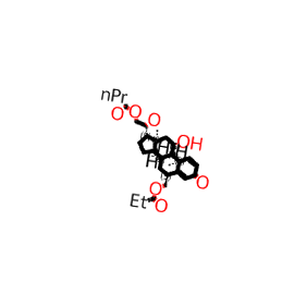 CCCC(=O)OCC(=O)[C@H]1CC[C@H]2[C@@H]3C[C@H](COC(=O)CC)C4=CC(=O)C=C[C@]4(C)[C@H]3[C@@H](O)C[C@]12C